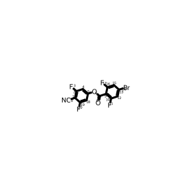 N#Cc1c(F)cc(OC(=O)c2c(F)cc(Br)cc2F)cc1F